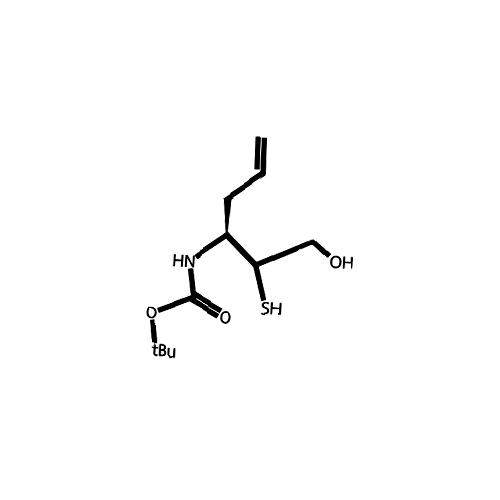 C=CC[C@H](NC(=O)OC(C)(C)C)C(S)CO